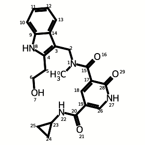 CN(Cc1c(CCO)[nH]c2ccccc12)C(=O)c1cc(C(=O)NC2CC2)c[nH]c1=O